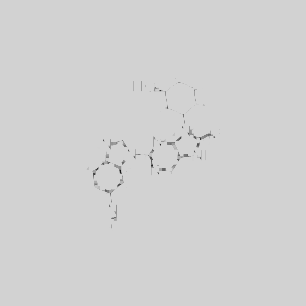 [C-]#[N+]c1ccc2ncn(-c3ncc4[nH]c(=O)n(C5CCCC(O)C5)c4n3)c2c1